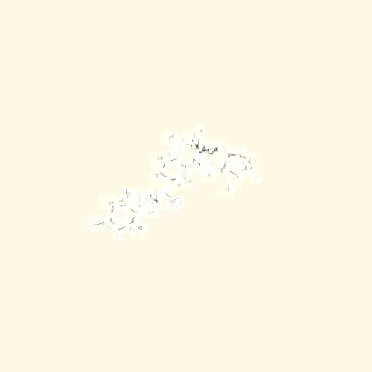 COc1cnc(C)c(F)c1CN1C(=O)N(C)C(C)c2ccc(C(=O)NCc3c(F)cc(F)cc3F)cc21